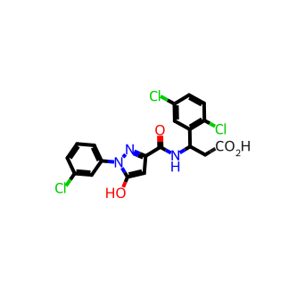 O=C(O)CC(NC(=O)c1cc(O)n(-c2cccc(Cl)c2)n1)c1cc(Cl)ccc1Cl